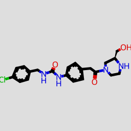 O=C(NCc1ccc(Cl)cc1)Nc1ccc(CC(=O)N2CCN[C@H](CO)C2)cc1